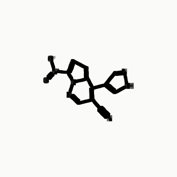 N#Cc1cnn2c([N+](=O)[O-])ccc2c1-c1cn[nH]c1